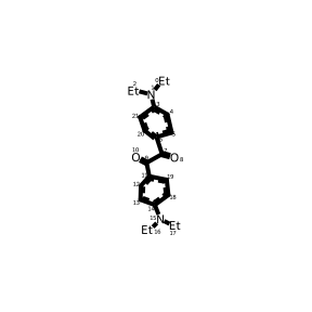 CCN(CC)c1ccc(C(=O)C(=O)c2ccc(N(CC)CC)cc2)cc1